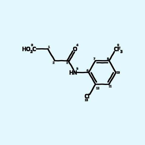 O=C(O)CCC(=O)Nc1cc(C(F)(F)F)ccc1Cl